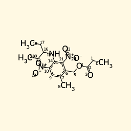 CCC(=O)OCc1c(C)cc([N+](=O)[O-])c(NC(CC)CC)c1[N+](=O)[O-]